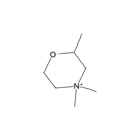 CC1C[N+](C)(C)CCO1